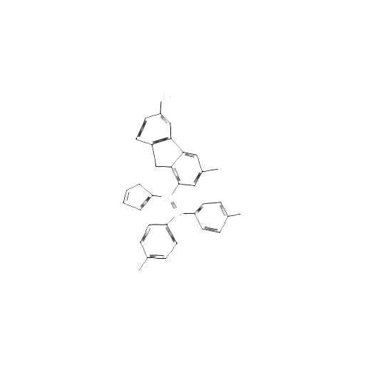 Cc1ccc([Si](c2ccc(C)cc2)=[Zr]([C]2=CC=CC2)[c]2cc(C(C)(C)C)cc3c2Cc2ccc(C(C)(C)C)cc2-3)cc1